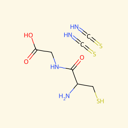 N=C=S.N=C=S.NC(CS)C(=O)NCC(=O)O